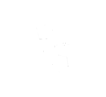 CC[Si](OC)(C1CCCC1)C1CCCC1